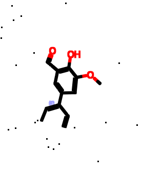 C=C/C(=C\C)c1cc(C=O)c(O)c(OC)c1